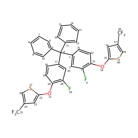 Fc1cc(C(c2ccccc2)(c2ccccc2)c2ccc(Oc3cc(C(F)(F)F)cs3)c(F)c2)ccc1Oc1cc(C(F)(F)F)cs1